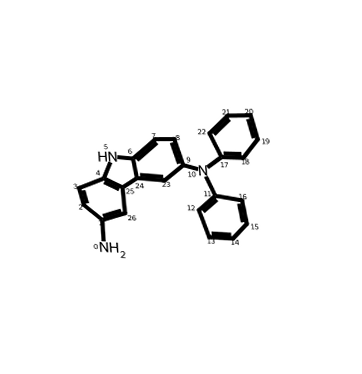 Nc1ccc2[nH]c3ccc(N(c4ccccc4)c4ccccc4)cc3c2c1